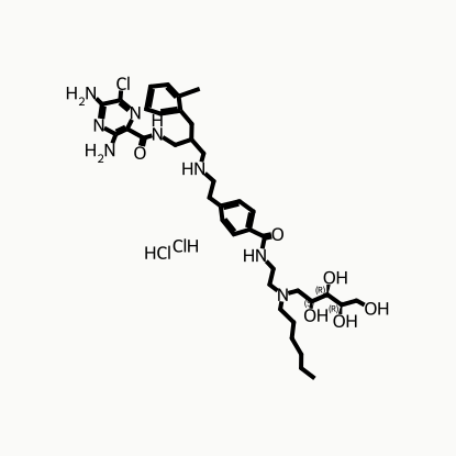 CCCCCCN(CCNC(=O)c1ccc(CCNCC(CNC(=O)c2nc(Cl)c(N)nc2N)Cc2ccccc2C)cc1)C[C@H](O)[C@@H](O)[C@H](O)CO.Cl.Cl